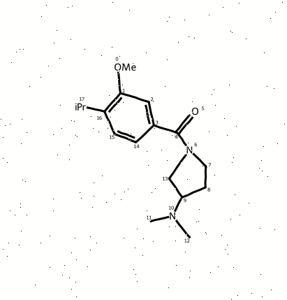 COc1cc(C(=O)N2CCC(N(C)C)C2)ccc1C(C)C